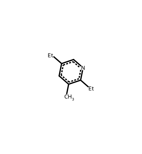 CCc1cnc(CC)c(C)c1